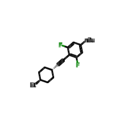 CCCCc1cc(F)c(C#C[C@H]2CC[C@H](CC)CC2)c(F)c1